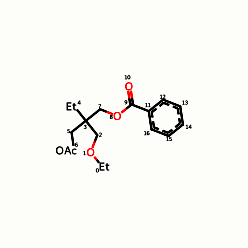 CCOCC(CC)(COC(C)=O)COC(=O)c1ccccc1